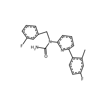 Cc1cc(F)ccc1-c1cccc(N(Cc2cccc(F)c2)C(N)=O)n1